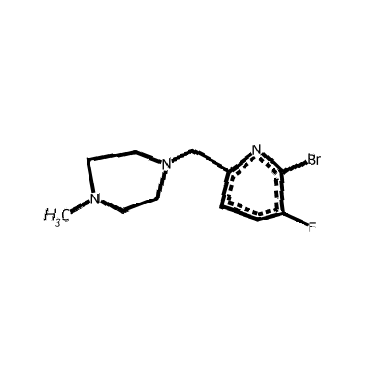 CN1CCN(Cc2ccc(F)c(Br)n2)CC1